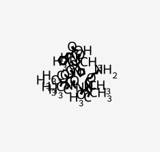 CCC(C)C(C(CC(=O)N1CCCC1C(OC)C(C)C(=O)NC(Cc1ccccc1)C(=O)O)OC)N(C)C(=O)CNC(=O)C(C(C)C)N(C)CCOCCN